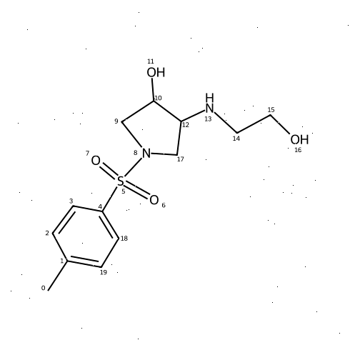 Cc1ccc(S(=O)(=O)N2CC(O)C(NCCO)C2)cc1